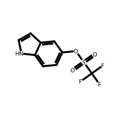 O=S(=O)(Oc1ccc2[nH]ccc2c1)C(F)(F)F